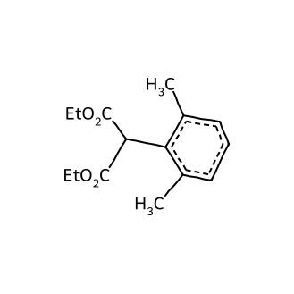 CCOC(=O)C(C(=O)OCC)c1c(C)cccc1C